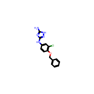 Nc1nc(Nc2ccc(OCc3ccccc3)c(Cl)c2)n[nH]1